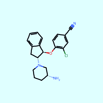 N#Cc1ccc(O[C@@H]2c3ccccc3C[C@H]2N2CCC[C@@H](N)C2)c(Cl)c1